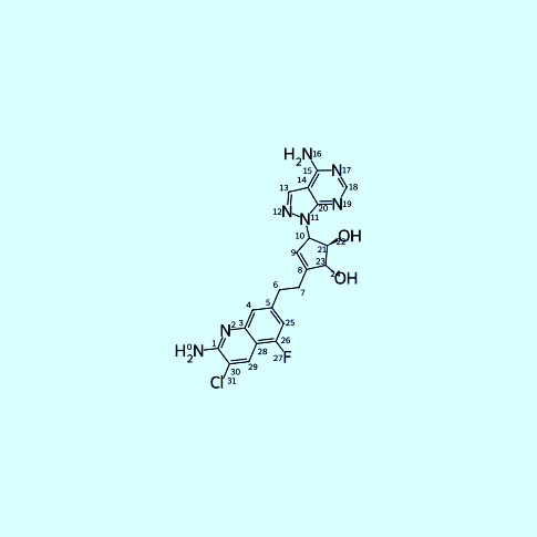 Nc1nc2cc(CCC3=CC(n4ncc5c(N)ncnc54)[C@@H](O)C3O)cc(F)c2cc1Cl